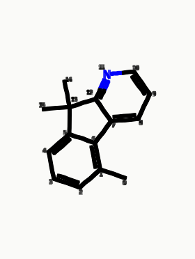 Cc1cccc2c1-c1cccnc1C2(C)C